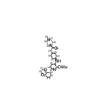 COc1nc(-c2cccc3c2OCCO3)ccc1Nc1ccc(CC(=O)N2CCN(C)CC2)cc1